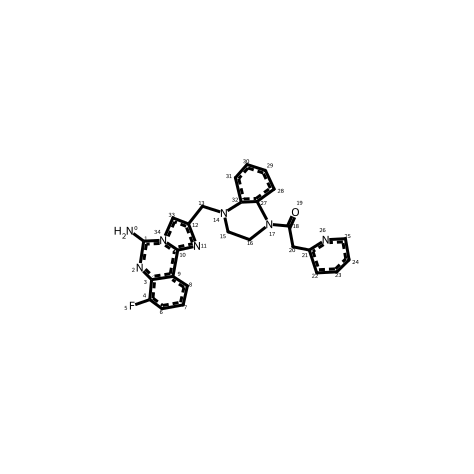 Nc1nc2c(F)cccc2c2nc(CN3CCN(C(=O)Cc4ccccn4)c4ccccc43)cn12